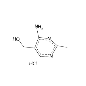 Cc1ncc(CO)c(N)n1.Cl